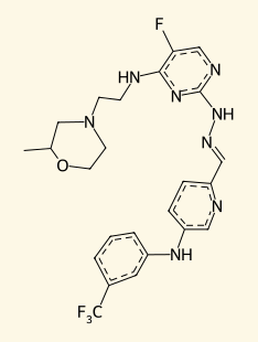 CC1CN(CCNc2nc(N/N=C/c3ccc(Nc4cccc(C(F)(F)F)c4)cn3)ncc2F)CCO1